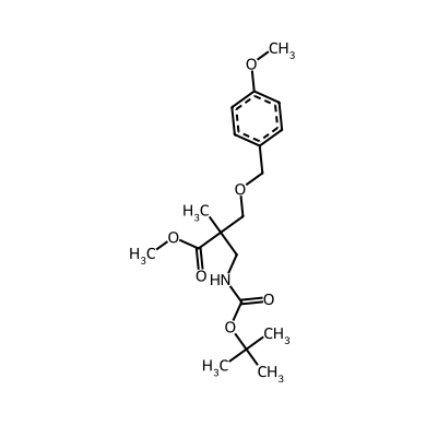 COC(=O)C(C)(CNC(=O)OC(C)(C)C)COCc1ccc(OC)cc1